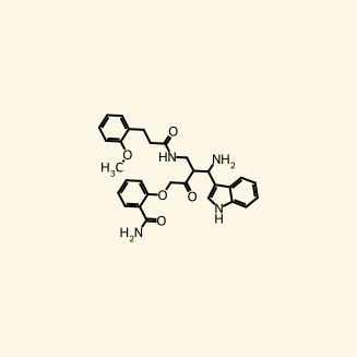 COc1ccccc1CCC(=O)NCC(C(=O)COc1ccccc1C(N)=O)C(N)c1c[nH]c2ccccc12